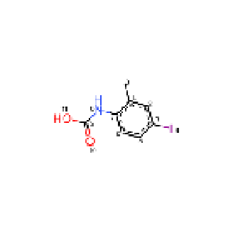 Cc1cc(I)ccc1NC(=O)O